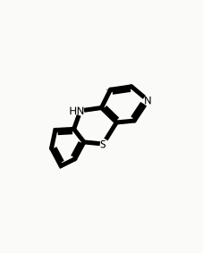 [c]1cncc2c1Nc1ccccc1S2